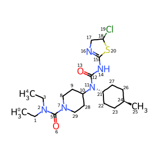 CCN(CC)C(=O)N1CCC(N(C(=O)NC2=NCC(Cl)S2)[C@H]2CC[C@H](C)CC2)CC1